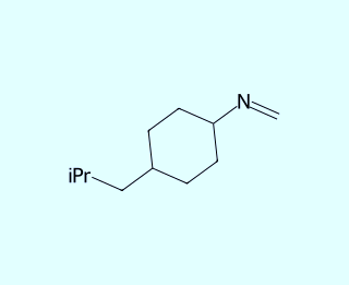 C=NC1CCC(CC(C)C)CC1